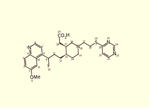 COc1ccc2nccc(C(F)CC[C@@H]3CCN(CCSc4ccncn4)C[C@@H]3CC(=O)O)c2c1